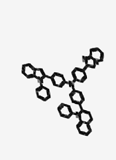 C1=C(c2ccc(N(c3ccc(-c4cn5ccccc5n4)cc3)c3ccc(-c4cc5ccccc5n4-c4ccccc4)cc3)cc2)N(c2ccccc2)c2ccccc2C1